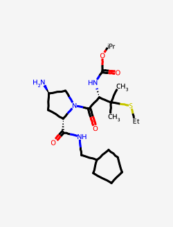 CCSC(C)(C)[C@@H](NC(=O)OC(C)C)C(=O)N1C[C@H](N)C[C@H]1C(=O)NCC1CCCCC1